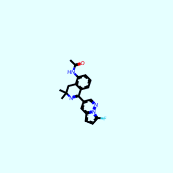 CC(=O)Nc1cccc2c1CC(C)(C)N=C2c1cnn2c(F)ccc2c1